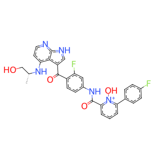 C[C@H](CO)Nc1ccnc2[nH]cc(C(=O)c3ccc(NC(=O)c4cccc(-c5ccc(F)cc5)[n+]4O)cc3F)c12